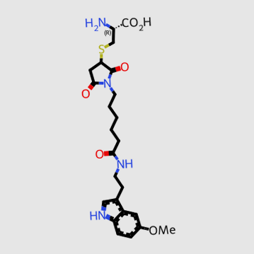 COc1ccc2[nH]cc(CCNC(=O)CCCCCN3C(=O)CC(SC[C@H](N)C(=O)O)C3=O)c2c1